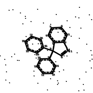 C1=Nc2ccccc2C1(c1ccccc1)c1ccccc1